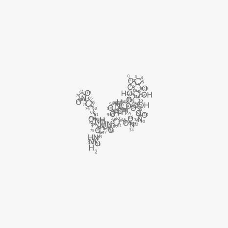 COc1cccc2c1C(=O)c1c(O)c3c(c(O)c1C2=O)C[C@@](O)(C(=O)COC(=O)N(C)CCN(C)C(=O)OCc1ccc(NC(=O)[C@H](CCCNC(N)=O)NC(=O)C(NC(=O)CCCc2ccc(N4C(=O)CCC4=O)cc2)C(C)C)cc1)C[C@@H]3OC1C[C@H]2[C@H](O[C@@H]3[C@@H](OC)OCCN32)[C@H](C)O1